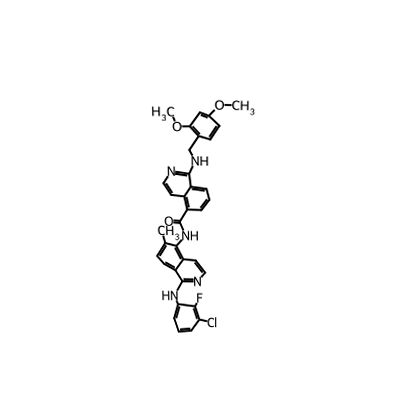 COc1ccc(CNc2nccc3c(C(=O)Nc4c(C)ccc5c(Nc6cccc(Cl)c6F)nccc45)cccc23)c(OC)c1